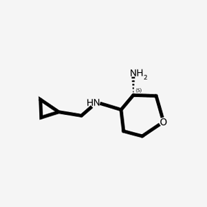 N[C@@H]1COCCC1NCC1CC1